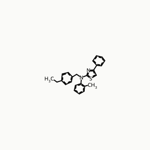 CCc1ccc(CN(c2nc(-c3ccccc3)cs2)c2ccccc2C)cc1